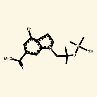 COC(=O)c1cc(Br)c2ccn(CC(C)(C)O[Si](C)(C)C(C)(C)C)c2c1